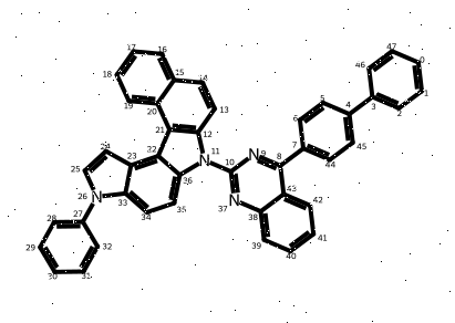 c1ccc(-c2ccc(-c3nc(-n4c5ccc6ccccc6c5c5c6ccn(-c7ccccc7)c6ccc54)nc4ccccc34)cc2)cc1